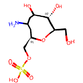 NC1C(O)[C@H](O)C(CO)O[C@H]1COS(=O)(=O)O